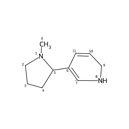 CN1CCCC1C1=[C]NCC=C1